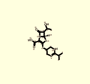 CC(C)C1=NCC(SC2=C(C(=O)O)N3C(=O)C(C(C)O)[C@@H]3S2)CN1